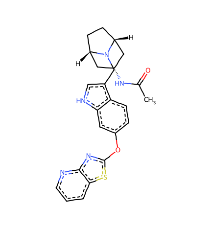 CC(=O)N[C@H]1C[C@H]2CC[C@@H](C1)N2Cc1c[nH]c2cc(Oc3nc4ncccc4s3)ccc12